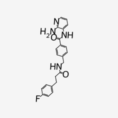 Nc1ncccc1NC(=O)c1ccc(CNC(=O)CCc2ccc(F)cc2)cc1